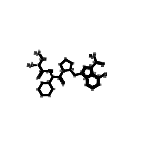 CN[C@@H](C)C(=O)N[C@H](C(=O)N1CCC[C@H]1Cn1cc(C(C)=O)c2c(Cl)cccc21)C1CCCCC1